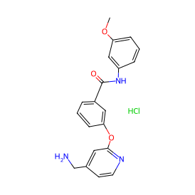 COc1cccc(NC(=O)c2cccc(Oc3cc(CN)ccn3)c2)c1.Cl